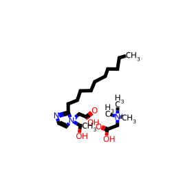 CCCCCCCCCCC1=NC=C[N+]1(CC(=O)O)C(C)O.C[N+](C)(C)CC(=O)O